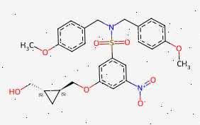 COc1ccc(CN(Cc2ccc(OC)cc2)S(=O)(=O)c2cc(OC[C@H]3C[C@@H]3CO)cc([N+](=O)[O-])c2)cc1